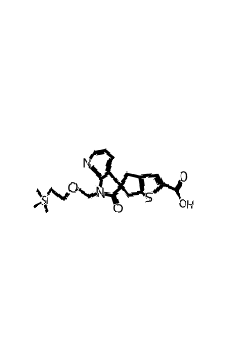 C[Si](C)(C)CCOCN1C(=O)C2(Cc3cc(C(=O)O)sc3C2)c2cccnc21